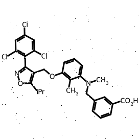 Cc1c(OCc2c(-c3c(Cl)cc(Cl)cc3Cl)noc2C(C)C)cccc1N(C)Cc1cccc(C(=O)O)c1